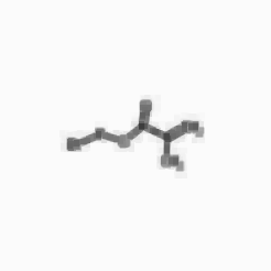 C=C(C)C(=O)O[P]CC